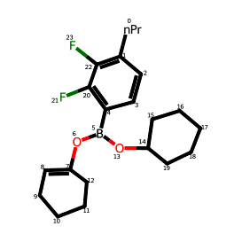 CCCc1ccc(B(OC2=CCCCC2)OC2CCCCC2)c(F)c1F